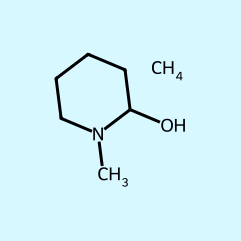 C.CN1CCCCC1O